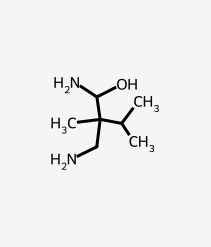 CC(C)C(C)(CN)C(N)O